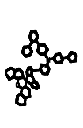 C1=CC2=C(C=CC3C2Oc2c(ccc4c2C=CCC4)C32c3ccccc3-c3c(-c4cccc(N(c5ccc(-c6ccccc6)cc5)c5ccc(-c6ccccc6-c6ccccc6)cc5)c4)cccc32)CC1